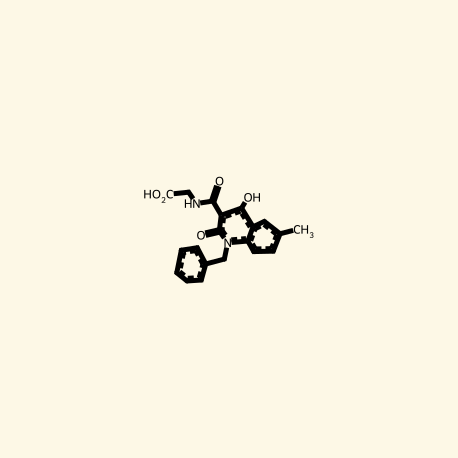 Cc1ccc2c(c1)c(O)c(C(=O)NCC(=O)O)c(=O)n2Cc1ccccc1